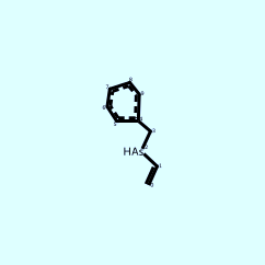 C=C[AsH]Cc1ccccc1